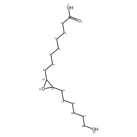 O=C(O)CCCCCCCC1OC1CCCCCCO